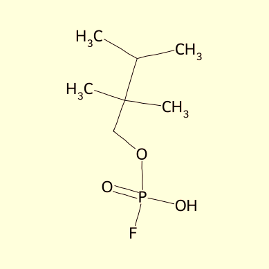 CC(C)C(C)(C)COP(=O)(O)F